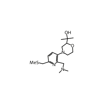 CSCc1ccc(N2CCOC(C(C)(C)O)C2)c(CN(C)C)n1